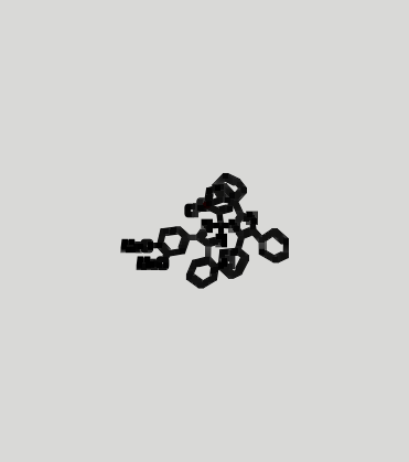 COc1ccc(C2=NC(c3ccccc3Cl)(n3c(-c4ccccc4Cl)nc(-c4ccccc4)c3-c3ccccc3)N=C2c2ccccc2Cl)cc1OC